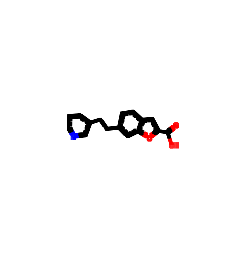 O=C(O)c1cc2ccc(CCc3cccnc3)cc2o1